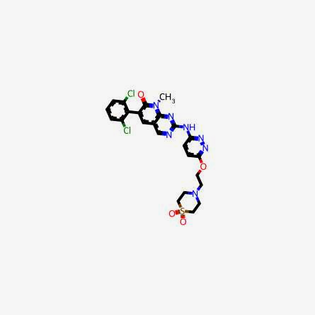 Cn1c(=O)c(-c2c(Cl)cccc2Cl)cc2cnc(Nc3ccc(OCCN4CCS(=O)(=O)CC4)nn3)nc21